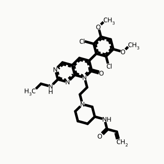 C=CC(=O)NC1CCCN(CCn2c(=O)c(-c3c(Cl)c(OC)cc(OC)c3Cl)cc3cnc(NCC)nc32)C1